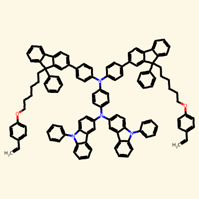 C=Cc1ccc(OCCCCCCC2(c3ccccc3)c3ccccc3-c3ccc(-c4ccc(N(c5ccc(-c6ccc7c(c6)C(CCCCCCOc6ccc(C=C)cc6)(c6ccccc6)c6ccccc6-7)cc5)c5ccc(N(c6ccc7c(c6)c6ccccc6n7-c6ccccc6)c6ccc7c(c6)c6ccccc6n7-c6ccccc6)cc5)cc4)cc32)cc1